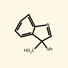 CCCC1(C(=O)O)C=Nc2ccccc21